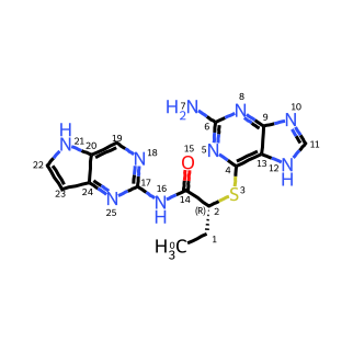 CC[C@@H](Sc1nc(N)nc2nc[nH]c12)C(=O)Nc1ncc2[nH]ccc2n1